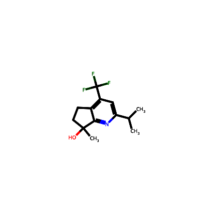 CC(C)c1cc(C(F)(F)F)c2c(n1)C(C)(O)CC2